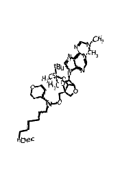 CCCCCCCCCCCCCCCCN(OC[C@]12COC(C1O[Si](C)(C)C(C)(C)C)[C@H](n1cnc3c(/N=C\N(C)C)ncnc31)O2)C1CCOCC1